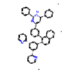 C1=C(c2cccc(-c3c(-c4cc(-c5ccccn5)cc(-c5ccccn5)c4)ccc4ccccc34)c2)N=C(c2ccccc2)NC1c1ccccc1